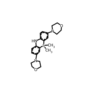 CS1(C)c2cc(N3CCOCC3)ccc2Nc2ccc(N3CCOCC3)cc21